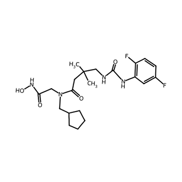 CC(C)(CNC(=O)Nc1cc(F)ccc1F)CC(=O)N(CC(=O)NO)CC1CCCC1